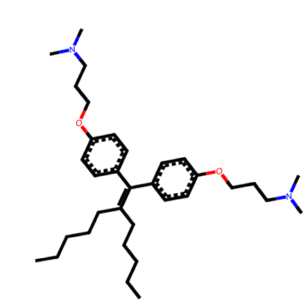 CCCCCC(CCCCC)=C(c1ccc(OCCCN(C)C)cc1)c1ccc(OCCCN(C)C)cc1